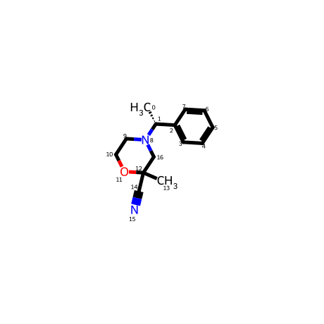 C[C@H](c1ccccc1)N1CCOC(C)(C#N)C1